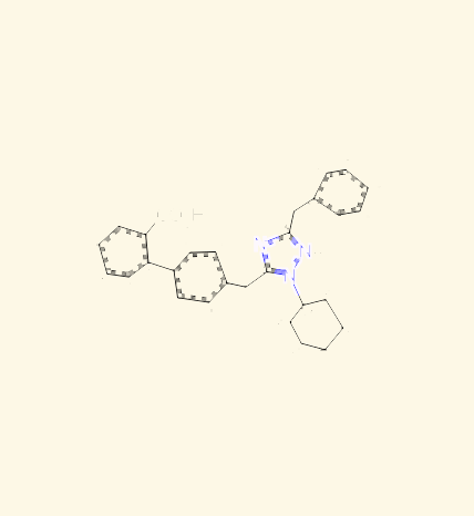 O=C(O)c1ccccc1-c1ccc(Cc2nc(Cc3ccccc3)nn2C2CCCCC2)cc1